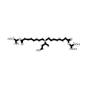 CCCCCCCCC(CCC)OC(=O)CCCCCCCN(CCCCCCCC(=O)OC(CCCCCCCC)CCCCCCCC)C(C)CCO